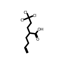 C=CCCC(CCC(Cl)(Cl)Cl)C(=O)O